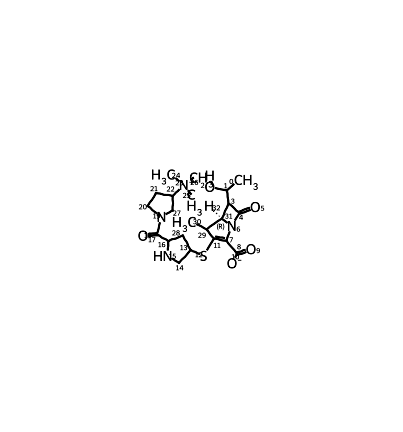 CC(O)C1C(=O)N2C(C(=O)[O-])=C(SC3CNC(C(=O)N4CCC([N+](C)(C)C)C4)C3)C(C)[C@@H]12